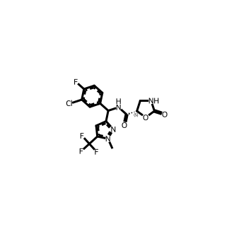 Cn1nc(C(NC(=O)[C@@H]2CNC(=O)O2)c2ccc(F)c(Cl)c2)cc1C(F)(F)F